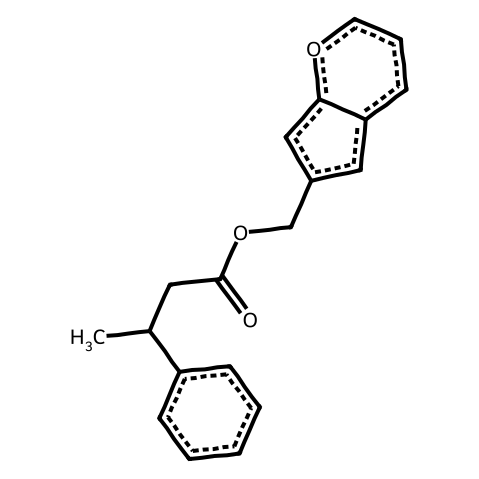 CC(CC(=O)OCc1cc2cccoc-2c1)c1ccccc1